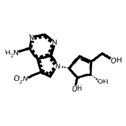 Nc1ncnc2c1c([N+](=O)[O-])cn2[C@@H]1C=C(CO)[C@H](O)C1O